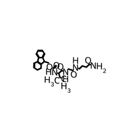 CC(C)C(NC(=O)OCC1C2=C(C=CCC2)c2ccccc21)C(=O)NCC(=O)NCCCC(N)=O